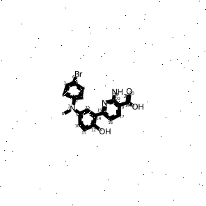 CN(c1ccc(Br)cc1)c1ccc(O)c(-c2ccc(C(=O)O)c(N)n2)c1